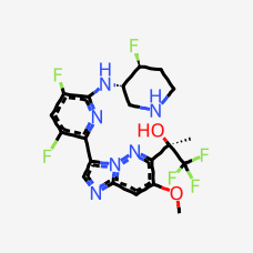 COc1cc2ncc(-c3nc(N[C@H]4CNCC[C@@H]4F)c(F)cc3F)n2nc1[C@@](C)(O)C(F)(F)F